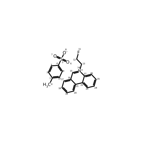 Cc1ccc(S(=O)(=O)[O-])cc1.FCC[n+]1cc2ccccc2c2ccccc21